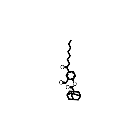 CCCCCCCC(=O)c1ccc(OC(=O)C23CC4CC(CC(C4)C2)C3)c(C=O)c1